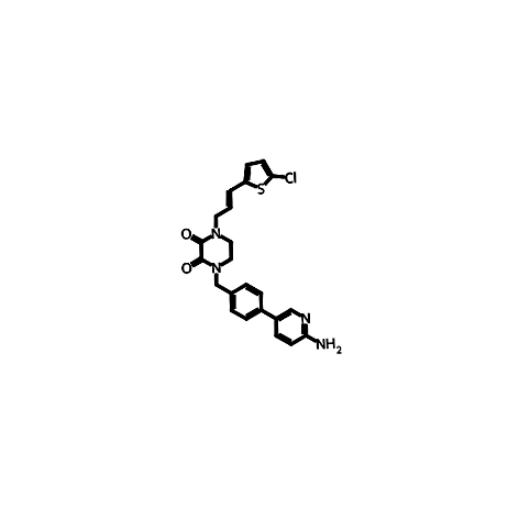 Nc1ccc(-c2ccc(CN3CCN(CC=Cc4ccc(Cl)s4)C(=O)C3=O)cc2)cn1